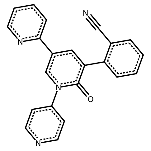 N#Cc1ccccc1-c1cc(-c2ccccn2)cn(-c2ccncc2)c1=O